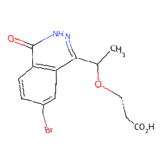 CC(OCCC(=O)O)c1n[nH]c(=O)c2ccc(Br)cc12